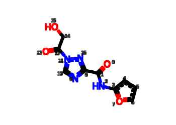 O=C(Nc1ccco1)c1ncn(C(=O)CO)n1